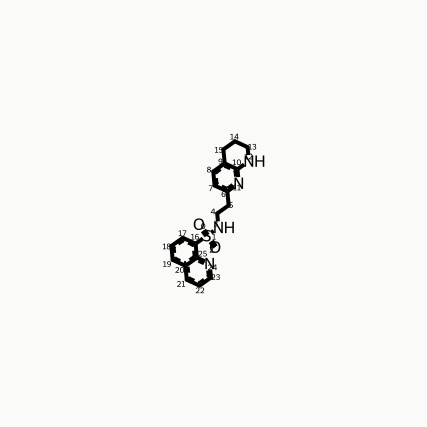 O=S(=O)(NCCc1ccc2c(n1)NCCC2)c1cccc2cccnc12